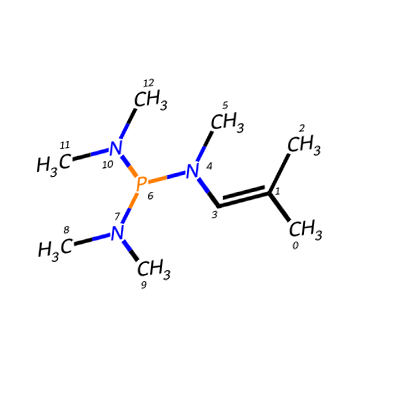 CC(C)=CN(C)P(N(C)C)N(C)C